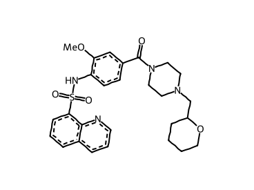 COc1cc(C(=O)N2CCN(CC3CCCCO3)CC2)ccc1NS(=O)(=O)c1cccc2cccnc12